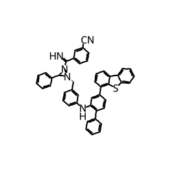 N#Cc1cccc(C(=N)N2C(c3ccccc3)[N@@]2Cc2cccc(Nc3cc(-c4cccc5c4sc4ccccc45)ccc3-c3ccccc3)c2)c1